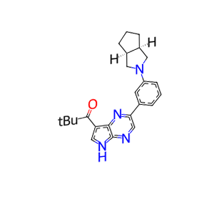 CC(C)(C)C(=O)c1c[nH]c2ncc(-c3cccc(N4C[C@H]5CCC[C@H]5C4)c3)nc12